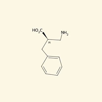 NC[C@@H](Cc1ccccc1)C(=O)O